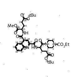 CCOC(=O)N1CCN(C(=O)C(CCC(=O)OC(C)(C)C)NC(=O)c2cc(C(=O)NC(CCC(=O)OC(C)(C)C)C(=O)OC)c3ccccc3n2)CC1